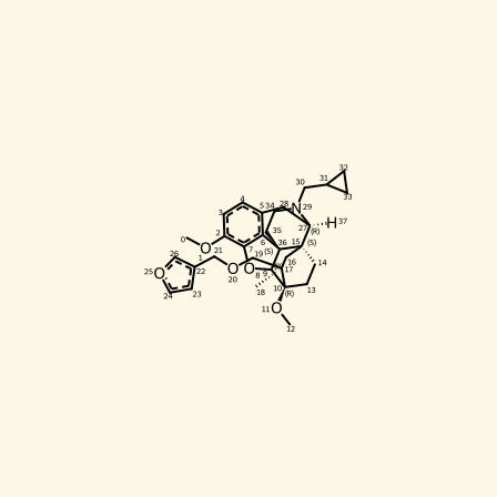 COc1ccc2c3c1OC1[C@@]4(OC)CC[C@@]5(C[C@]4(C)COCc4ccoc4)[C@@H](C2)N(CC2CC2)CC[C@]315